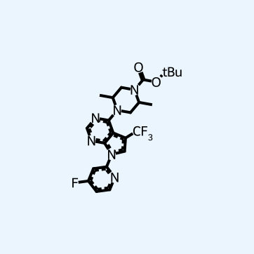 CC1CN(c2ncnc3c2c(C(F)(F)F)cn3-c2cc(F)ccn2)C(C)CN1C(=O)OC(C)(C)C